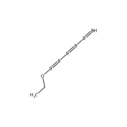 B=BB=BB=BOCC